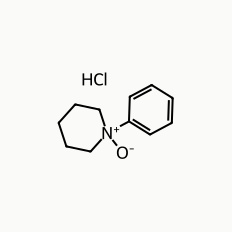 Cl.[O-][N+]1(c2ccccc2)CCCCC1